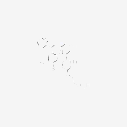 C=C(c1ccccn1)c1cc(Br)c(Br)cc1N(C(=C)[C@@H](CCC)CCC(=O)OCCC(=O)O)/C(C)=C\C(C)CC